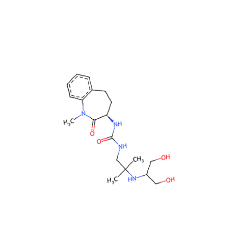 CN1C(=O)[C@H](NC(=O)NCC(C)(C)NC(CO)CO)CCc2ccccc21